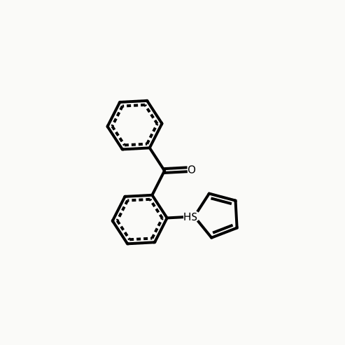 O=C(c1ccccc1)c1ccccc1[SH]1C=CC=C1